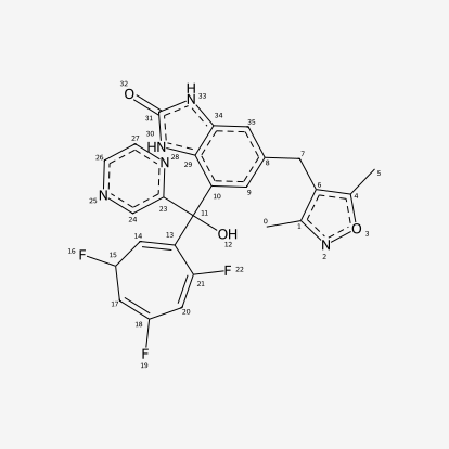 Cc1noc(C)c1Cc1cc(C(O)(C2=CC(F)C=C(F)C=C2F)c2cnccn2)c2[nH]c(=O)[nH]c2c1